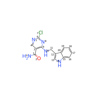 NC(=O)c1cnc(Cl)nc1NCc1c[nH]c2ccccc12